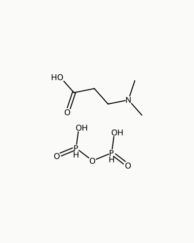 CN(C)CCC(=O)O.O=[PH](O)O[PH](=O)O